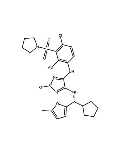 Cc1ccc([C@H](Nc2n[s+]([O-])nc2Nc2ccc(Cl)c(S(=O)(=O)N3CCCC3)c2O)C2CCCC2)o1